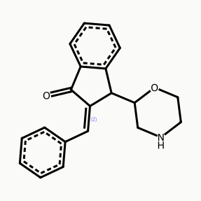 O=C1/C(=C\c2ccccc2)C(C2CNCCO2)c2ccccc21